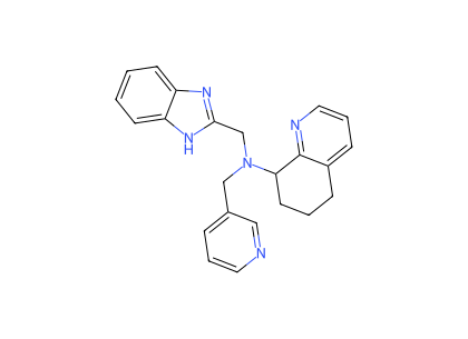 c1cncc(CN(Cc2nc3ccccc3[nH]2)C2CCCc3cccnc32)c1